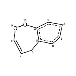 [c]1cccc2c1CC=COO2